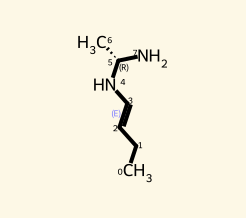 CC/C=C/N[C@H](C)N